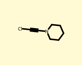 ClC#CN1CCCCC1